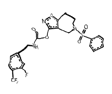 O=C(NCc1ccc(C(F)(F)F)c(F)c1)Oc1noc2c1CN(S(=O)(=O)c1ccccc1)CC2